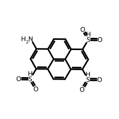 Nc1cc([SH](=O)=O)c2ccc3c([SH](=O)=O)cc([SH](=O)=O)c4ccc1c2c43